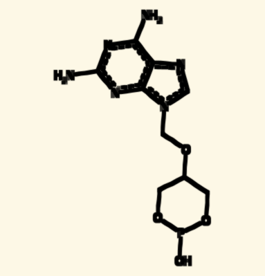 Nc1nc(N)c2ncn(COC3COP(O)OC3)c2n1